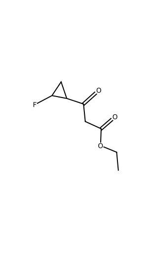 CCOC(=O)CC(=O)C1CC1F